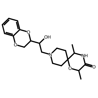 CC1OC2(CCN(CC(O)C3COc4ccccc4O3)CC2)C(C)NC1=O